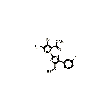 COC(=O)c1c(Br)c(C)nn1-c1nc(-c2cccc(Cl)c2)c(SC(C)C)s1